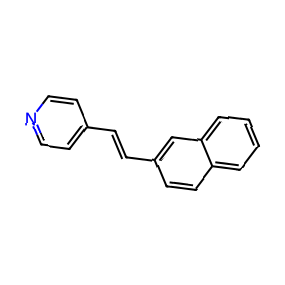 C(=Cc1ccc2ccccc2c1)c1ccncc1